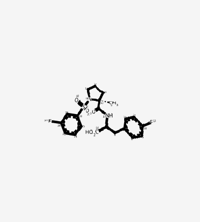 C[C@@]1(C(=O)NC(Cc2ccc(F)cc2)C(=O)O)CCCN1S(=O)(=O)c1cccc(F)c1